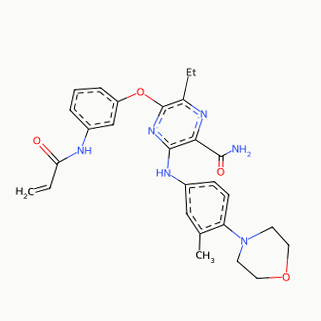 C=CC(=O)Nc1cccc(Oc2nc(Nc3ccc(N4CCOCC4)c(C)c3)c(C(N)=O)nc2CC)c1